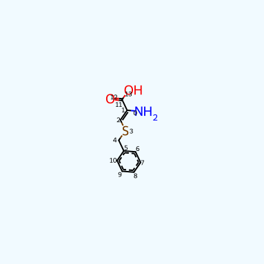 N/C(=C\SCc1ccccc1)C(=O)O